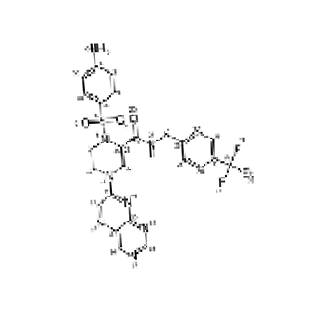 Bc1ccc(S(=O)(=O)N2CCN(c3cnc4cncnc4n3)C[C@@H]2C(=O)NCc2ccc(C(F)(F)CC)cc2)cc1